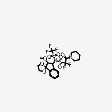 COC1C(N(S(=O)(=O)C(F)(F)F)S(=O)(=O)C(F)(F)C(=O)N2CCCCC2)c2ccccc2C12OCCO2